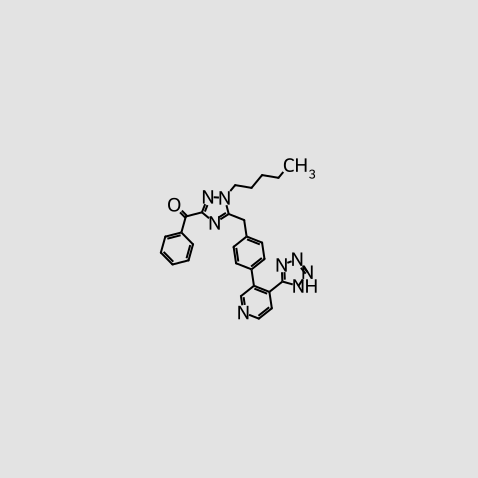 CCCCCn1nc(C(=O)c2ccccc2)nc1Cc1ccc(-c2cnccc2-c2nnn[nH]2)cc1